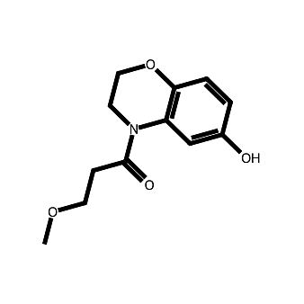 COCCC(=O)N1CCOc2ccc(O)cc21